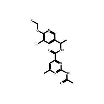 CC(=O)Nc1nc(C)cc(C(=O)NC(C)c2cnc(OCF)c(Cl)c2)n1